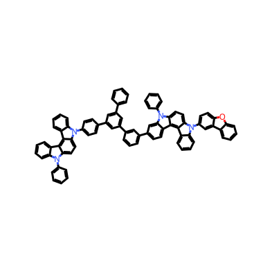 c1ccc(-c2cc(-c3ccc(-n4c5ccccc5c5c6c7ccccc7n(-c7ccccc7)c6ccc54)cc3)cc(-c3cccc(-c4ccc5c6c7c8ccccc8n(-c8ccc9oc%10ccccc%10c9c8)c7ccc6n(-c6ccccc6)c5c4)c3)c2)cc1